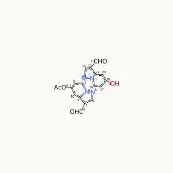 CC(=O)Oc1ccn2ncc(C=O)c2c1.O=Cc1cnn2ccc(O)cc12